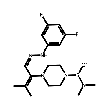 CC(C)=C(/C=N\Nc1cc(F)cc(F)c1)N1CCN([S+]([O-])N(C)C)CC1